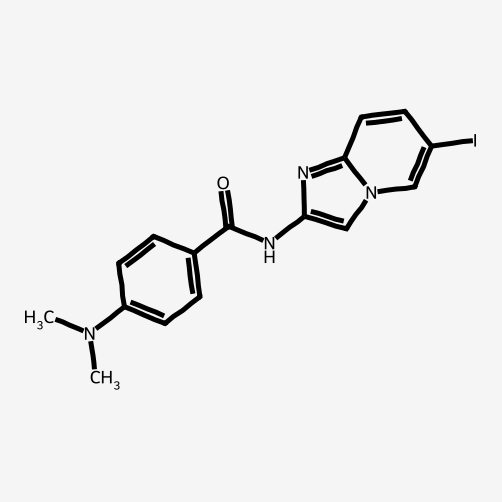 CN(C)c1ccc(C(=O)Nc2cn3cc(I)ccc3n2)cc1